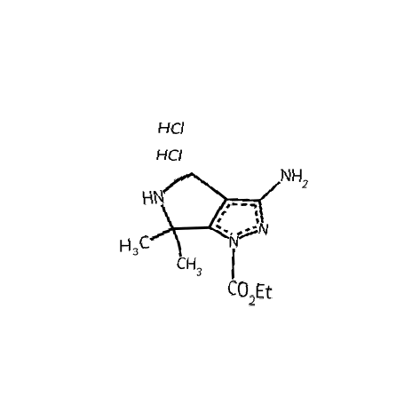 CCOC(=O)n1nc(N)c2c1C(C)(C)NC2.Cl.Cl